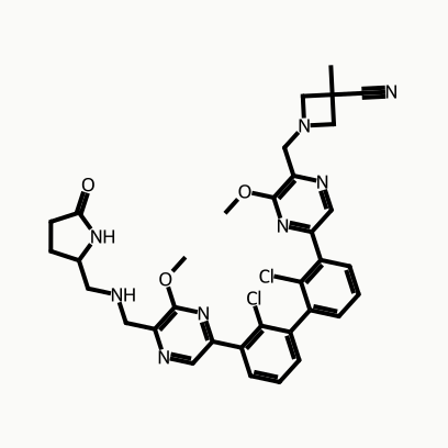 COc1nc(-c2cccc(-c3cccc(-c4cnc(CN5CC(C)(C#N)C5)c(OC)n4)c3Cl)c2Cl)cnc1CNCC1CCC(=O)N1